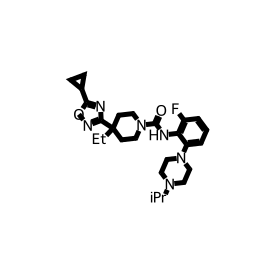 CCC1(c2noc(C3CC3)n2)CCN(C(=O)Nc2c(F)cccc2N2CCN(C(C)C)CC2)CC1